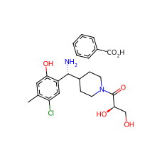 Cc1cc(O)c([C@H](N)C2CCN(C(=O)[C@H](O)CO)CC2)cc1Cl.O=C(O)c1ccccc1